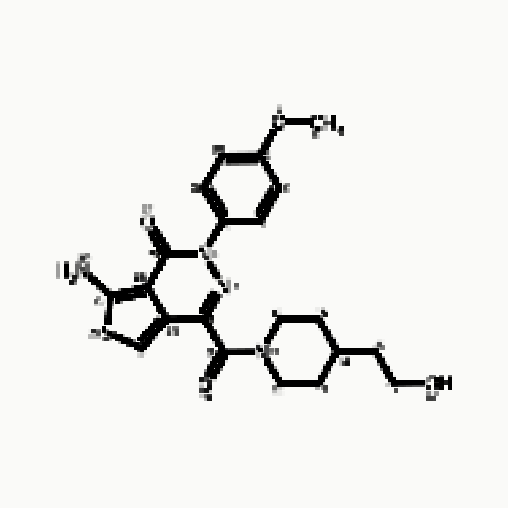 COc1ccc(-n2nc(C(=O)N3CCC(CCO)CC3)c3csc(N)c3c2=O)cc1